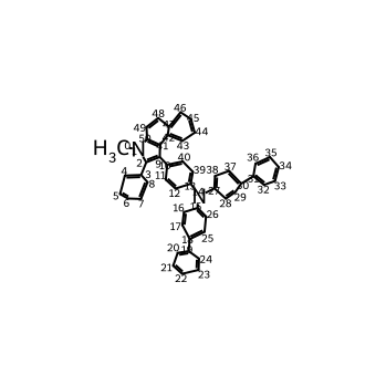 Cn1c(-c2ccccc2)c(-c2ccc(N(c3ccc(-c4ccccc4)cc3)c3ccc(-c4ccccc4)cc3)cc2)c2c3ccccc3ccc21